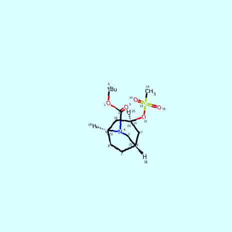 CC(C)(C)OC(=O)N1C[C@H]2CC[C@H]1C[C@@H](OS(C)(=O)=O)C2